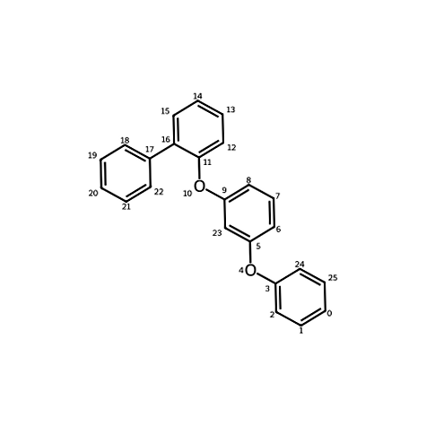 c1ccc(Oc2cccc(Oc3ccccc3-c3ccccc3)c2)cc1